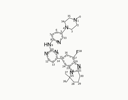 CN1CCN(c2ccc(Nc3nccc(-c4cc(F)c5nc6n(c5c4)C(C)(C)CCC6)n3)nc2)CC1